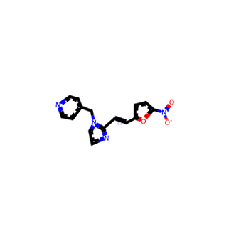 O=[N+]([O-])c1ccc(/C=C/c2nccn2Cc2ccncc2)o1